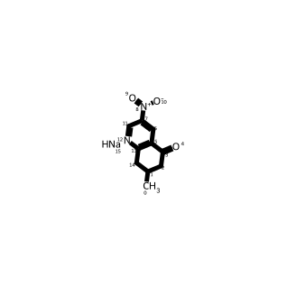 CC1CC(=O)c2cc([N+](=O)[O-])cnc2C1.[NaH]